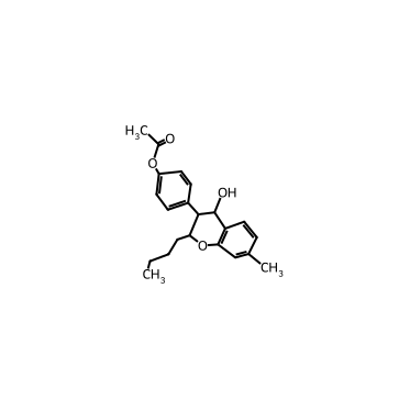 CCCCC1Oc2cc(C)ccc2C(O)C1c1ccc(OC(C)=O)cc1